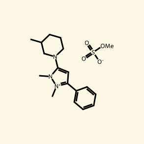 CC1CCCN(c2cc(-c3ccccc3)[n+](C)n2C)C1.COS(=O)(=O)[O-]